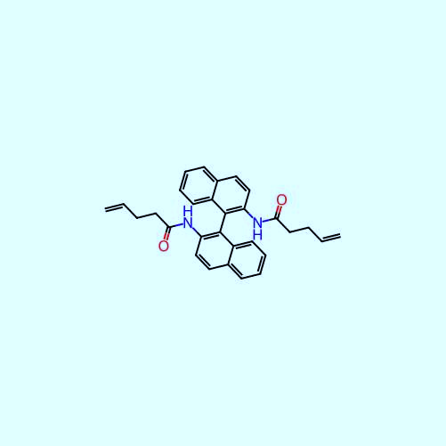 C=CCCC(=O)Nc1ccc2ccccc2c1-c1c(NC(=O)CCC=C)ccc2ccccc12